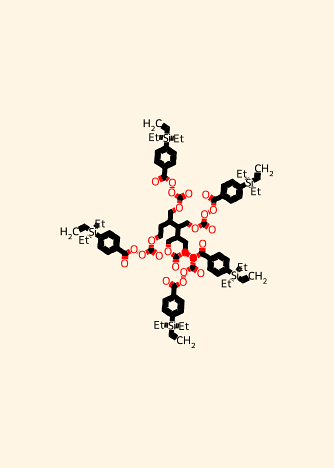 C=C[Si](CC)(CC)c1ccc(C(=O)OOC(=O)OCCC(COC(=O)OOC(=O)c2ccc([Si](C=C)(CC)CC)cc2)C(COC(=O)OOC(=O)c2ccc([Si](C=C)(CC)CC)cc2)C(CCOC(=O)OOC(=O)c2ccc([Si](C=C)(CC)CC)cc2)COC(=O)OOC(=O)c2ccc([Si](C=C)(CC)CC)cc2)cc1